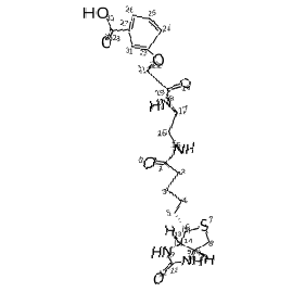 O=C(CCCC[C@@H]1SC[C@@H]2NC(=O)N[C@@H]21)NCCNC(=O)COc1cccc(C(=O)O)c1